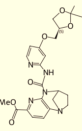 COC(=O)c1ccc2c(n1)N(C(=O)Nc1cc(OC[C@H]3COC(C)(C)O3)ccn1)C1CCN2C1